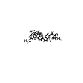 CC1CC2CC(C1)C(NC(=O)c1cnc(N3CCc4cc(C5CC5C(=O)N(C)C)ccc43)nc1C(F)(F)F)(C(=O)O)C2